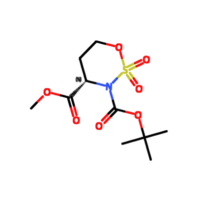 COC(=O)[C@@H]1CCOS(=O)(=O)N1C(=O)OC(C)(C)C